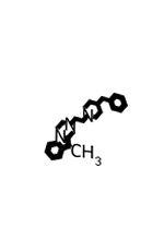 Cc1c2n(c3ccccc13)CCN(CCN1CCC(Cc3ccccc3)CC1)C2